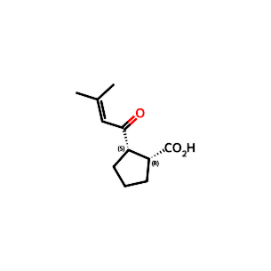 CC(C)=CC(=O)[C@H]1CCC[C@H]1C(=O)O